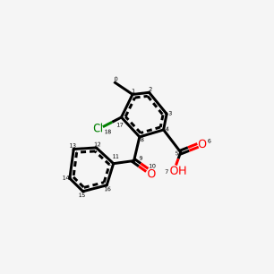 Cc1ccc(C(=O)O)c(C(=O)c2ccccc2)c1Cl